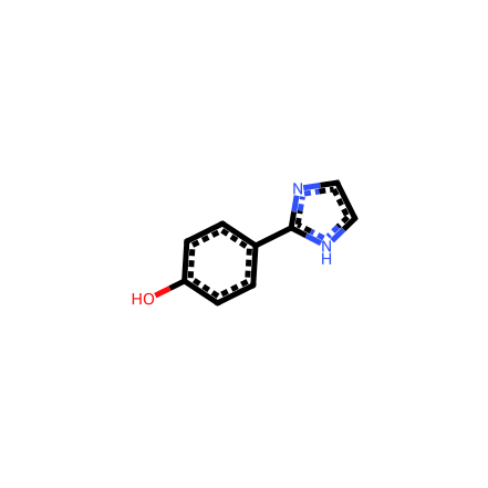 Oc1ccc(-c2ncc[nH]2)cc1